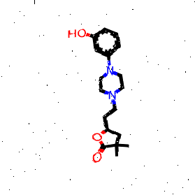 CC1(C)CC(CCN2CCN(c3cccc(O)c3)CC2)OC1=O